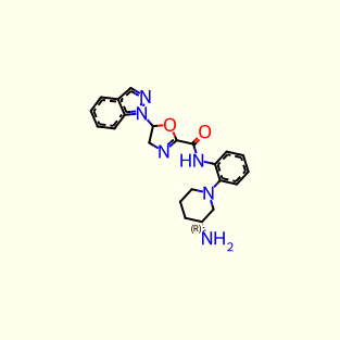 N[C@@H]1CCCN(c2ccccc2NC(=O)C2=NCC(n3ncc4ccccc43)O2)C1